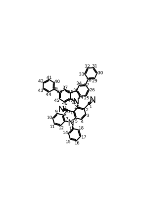 N#Cc1ccc(N(c2ccccc2)c2ccccc2)c(C#N)c1-n1c2ccc(-c3ccccc3)cc2c2cc(-c3ccccc3)ccc21